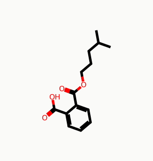 CC(C)CCCOC(=O)c1ccccc1C(=O)O